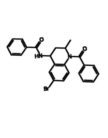 CC1CC(NC(=O)c2ccccc2)c2cc(Br)ccc2N1C(=O)c1ccccc1